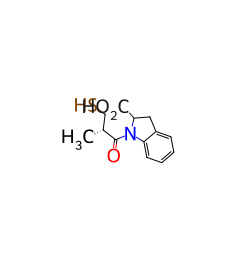 C[C@H](CS)C(=O)N1c2ccccc2CC1C(=O)O